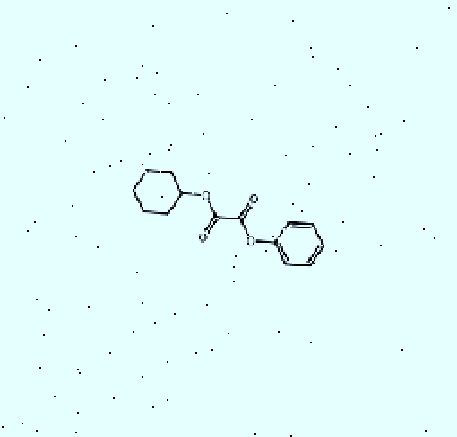 O=C(Oc1ccccc1)C(=O)OC1CCCCC1